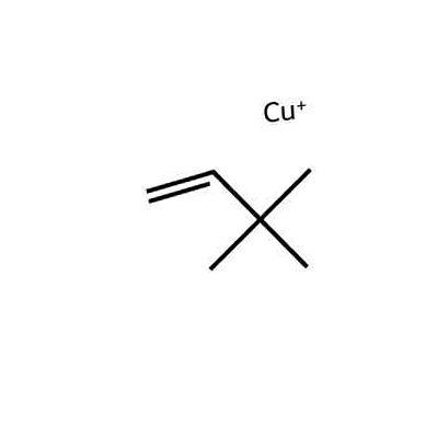 C=CC(C)(C)C.[Cu+]